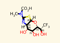 CN(C(=O)O)C1=N[C@@H]2[C@@H](O)[C@H](O)[C@@H]([C@@H](O)C(F)(F)F)O[C@@H]2S1